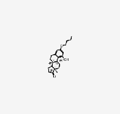 CCCCOc1cc(O)c2c(c1)CC[C@@H]1[C@@H]2CC[C@]2(C)C(=O)CC[C@@H]12